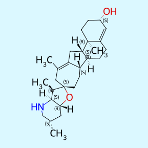 CC1=C2C[C@H]3[C@@H](CCC4=C[C@@H](O)CC[C@@]43C)[C@@H]2CC[C@@]2(C1)O[C@@H]1C[C@H](C)CN[C@H]1[C@H]2C